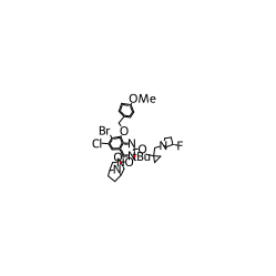 COc1ccc(COc2c(Br)c(Cl)cc3c(N4CC5CCC(C4)N5C(=O)OC(C)(C)C)nc(OCC4(CN5CC[C@@H](F)C5)CC4)nc23)cc1